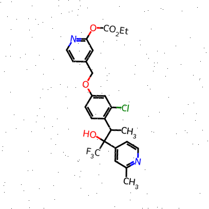 CCOC(=O)Oc1cc(COc2ccc(C(C)C(O)(c3ccnc(C)c3)C(F)(F)F)c(Cl)c2)ccn1